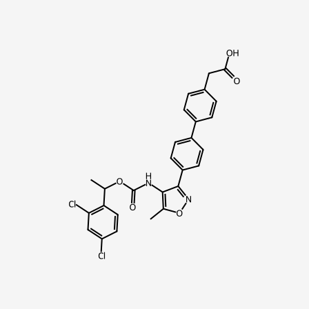 Cc1onc(-c2ccc(-c3ccc(CC(=O)O)cc3)cc2)c1NC(=O)OC(C)c1ccc(Cl)cc1Cl